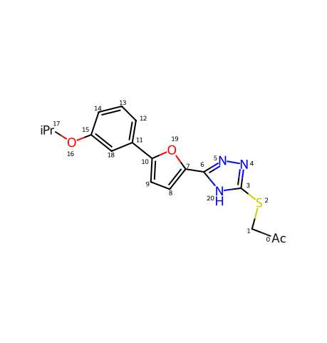 CC(=O)CSc1nnc(-c2ccc(-c3cccc(OC(C)C)c3)o2)[nH]1